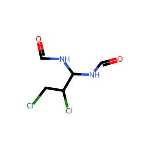 O=CNC(NC=O)C(Cl)CCl